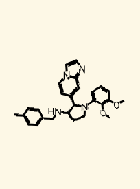 COc1cccc(N2CCC(NCc3ccc(C)cc3)C2c2ccn3ccnc3c2)c1OC